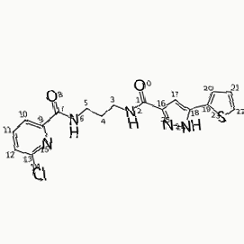 O=C(NCCCNC(=O)c1cccc(Cl)n1)c1cc(-c2cccs2)[nH]n1